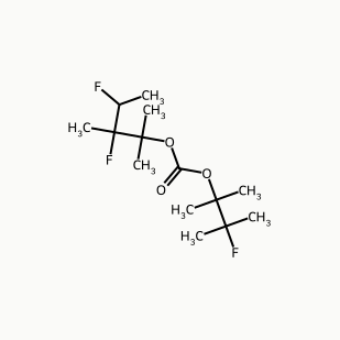 CC(F)C(C)(F)C(C)(C)OC(=O)OC(C)(C)C(C)(C)F